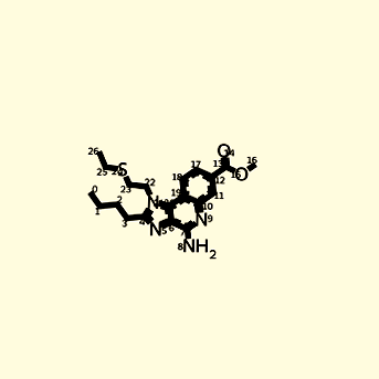 CCCCc1nc2c(N)nc3cc(C(=O)OC)ccc3c2n1CCSCC